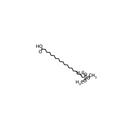 CO[Si](CCCCCCCCCCCCCCCCCCC(=O)O)(OC)OC